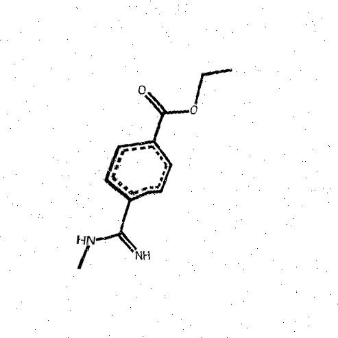 CCOC(=O)c1ccc(C(=N)NC)cc1